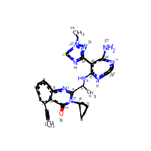 C#Cc1cccc2nc(C(C)Nc3ncnc(N)c3-c3ncn(C)n3)n(C3CC3)c(=O)c12